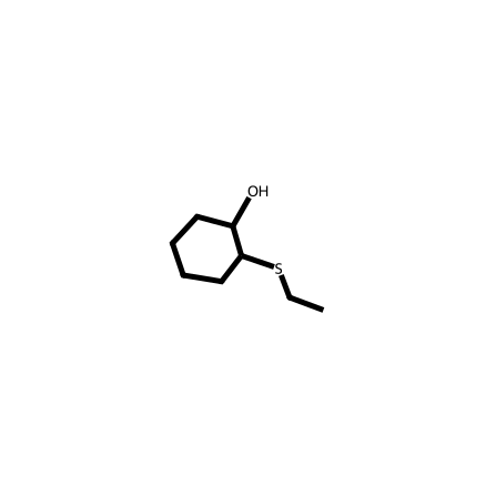 CCSC1CCCCC1O